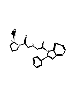 CC(CNCC(=O)N1CCC[C@H]1C#N)n1c(-c2ccccc2)cc2ccccc21